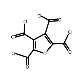 O=C(Cl)c1oc(C(=O)Cl)c(C(=O)Cl)c1C(=O)Cl